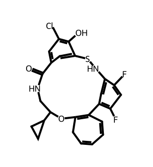 O=C1NCC(C2CC2)OC2=C(C=CC=CC2)c2cc(c(F)cc2F)NSc2cc1cc(Cl)c2O